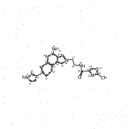 Nc1nc2cc(-c3cc[nH]n3)ccc2c2cn(CCNC(=O)c3csc(Cl)n3)nc12